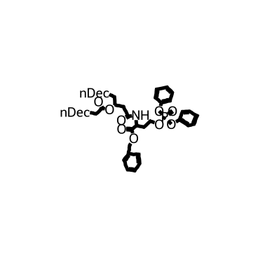 CCCCCCCCCCCC(=O)OC(CCCCCCCCCCC)CC(=O)NC(CCOP(=O)(Oc1ccccc1)Oc1ccccc1)C(=O)OCc1ccccc1